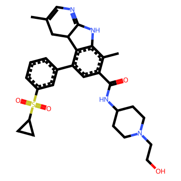 CC1=CN=C2Nc3c(C)c(C(=O)NC4CCN(CCO)CC4)cc(-c4cccc(S(=O)(=O)C5CC5)c4)c3C2C1